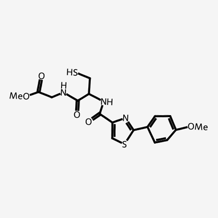 COC(=O)CNC(=O)C(CS)NC(=O)c1csc(-c2ccc(OC)cc2)n1